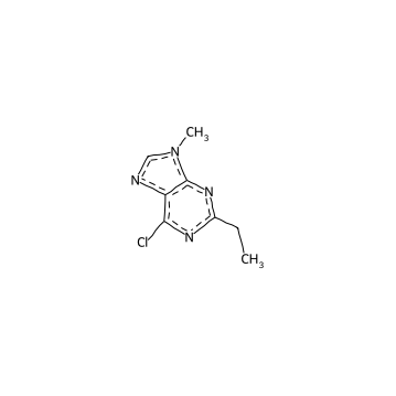 CCc1nc(Cl)c2ncn(C)c2n1